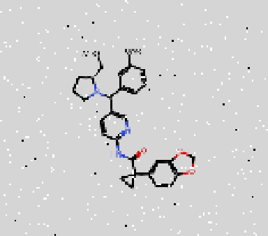 COC[C@@H]1CCCN1C(c1ccc(NC(=O)C2(c3ccc4c(c3)OCO4)CC2)nc1)c1cccc(OC)c1